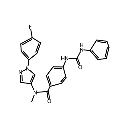 CN(C(=O)c1ccc(NC(=O)Nc2ccccc2)cc1)c1cnn(-c2ccc(F)cc2)c1